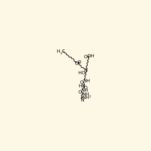 CCCCCCCCCCCOC(=O)CCCCCN(CCCCCCCC(=O)O)CC(O)CCCCNC(=O)CNC(=O)CNC(=O)C(N)Cc1cnc[nH]1